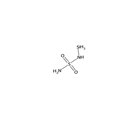 NS(=O)(=O)N[SiH3]